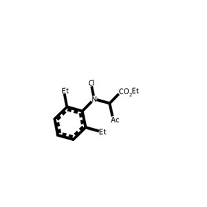 CCOC(=O)C(C(C)=O)N(Cl)c1c(CC)cccc1CC